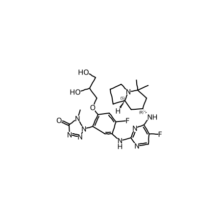 Cn1c(=O)nnn1-c1cc(Nc2ncc(F)c(N[C@@H]3C[C@@H]4CCCN4C(C)(C)C3)n2)c(F)cc1OCC(O)CO